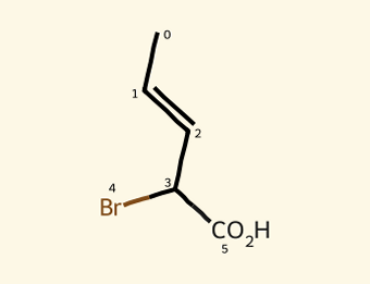 CC=CC(Br)C(=O)O